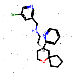 Brc1cncc(CNCC[C@@]2(c3ccccn3)CCOC3(CCCC3)C2)c1